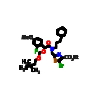 CCOC(=O)c1nc(CN(CCCc2ccccc2)C(=O)[C@H](OCOCC[Si](C)(C)C)c2ccc(OC)cc2F)sc1Br